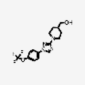 OCC1CCN(c2ncn(-c3ccc(OC(F)(F)F)cc3)n2)CC1